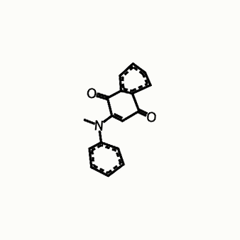 CN(C1=CC(=O)c2ccccc2C1=O)c1ccccc1